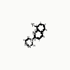 Fc1cccc2ccc(N3C=CN=NC3)nc12